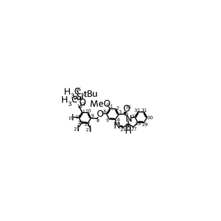 COc1cc2c(cc1OCc1cc(CO[Si](C)(C)C(C)(C)C)c(I)c(I)c1I)N=C[C@@H]1Cc3ccccc3N1C2=O